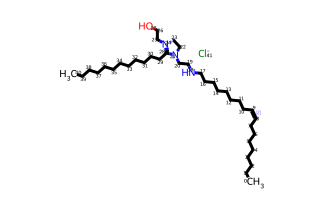 CCCCCCCC/C=C\CCCCCCCCNCCN1CC[N+](CCO)=C1CCCCCCCCCCCC.[Cl-]